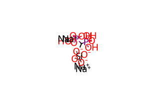 CC(P(=O)(O)O)P(=O)(O)OO.[Na+].[Na+].[Na+].[Na+].[O-][Si]([O-])([O-])[O-]